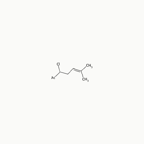 CC(=O)C(Cl)CC=C(C)C